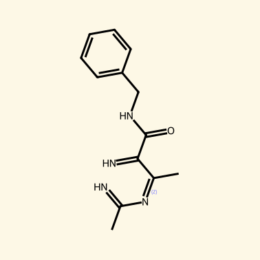 CC(=N)/N=C(/C)C(=N)C(=O)NCc1ccccc1